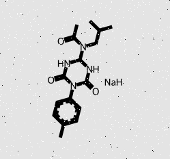 CC(=O)N(CC(C)C)C1NC(=O)N(c2ccc(C)cc2)C(=O)N1.[NaH]